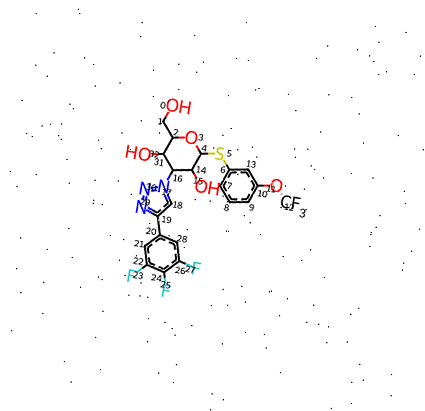 OCC1OC(Sc2cccc(OC(F)(F)F)c2)C(O)C(n2cc(-c3cc(F)c(F)c(F)c3)nn2)C1O